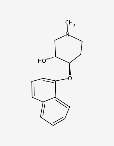 CN1CC[C@@H](Oc2cccc3ccccc23)[C@H](O)C1